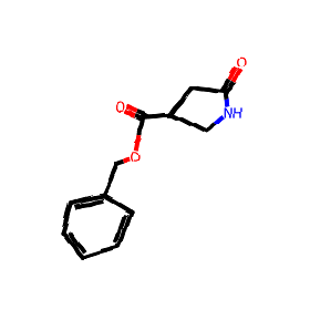 O=C1CC(C(=O)OCc2ccccc2)CN1